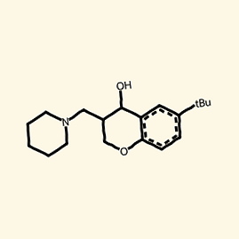 CC(C)(C)c1ccc2c(c1)C(O)C(CN1CCCCC1)CO2